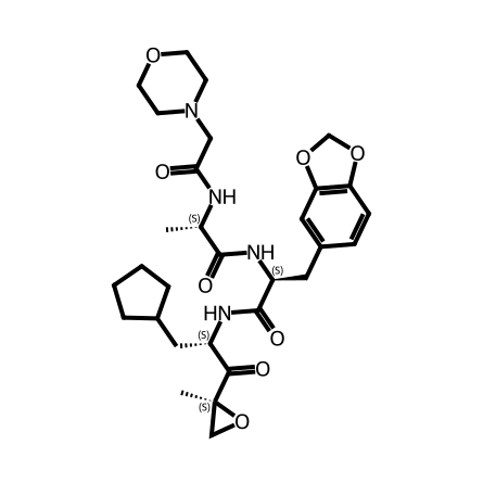 C[C@H](NC(=O)CN1CCOCC1)C(=O)N[C@@H](Cc1ccc2c(c1)OCO2)C(=O)N[C@@H](CC1CCCC1)C(=O)[C@]1(C)CO1